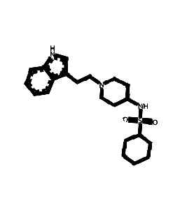 O=S(=O)(NC1CCN(CCc2c[nH]c3ccccc23)CC1)C1CCCCC1